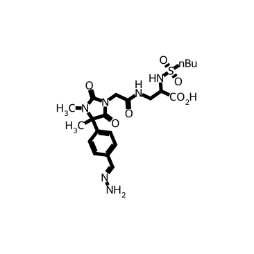 CCCCS(=O)(=O)NC(CNC(=O)CN1C(=O)N(C)C(C)(c2ccc(C=NN)cc2)C1=O)C(=O)O